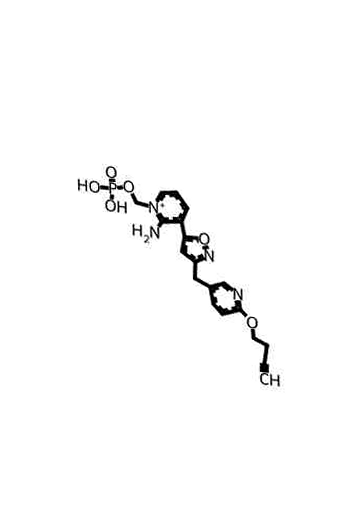 C#CCCOc1ccc(Cc2cc(-c3ccc[n+](COP(=O)(O)O)c3N)on2)cn1